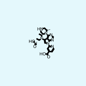 CCN(CC)c1cn(-c2cc(C(=O)O)ccn2)c2ncnc(N3CCNC[C@@H]3C)c12.O=NO